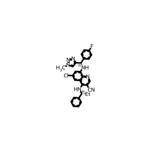 CC[C@@H](Nc1c(C#N)cnc2c(N[C@@H](c3ccc(F)cc3)c3cn(C)nn3)cc(Cl)cc12)c1ccccc1